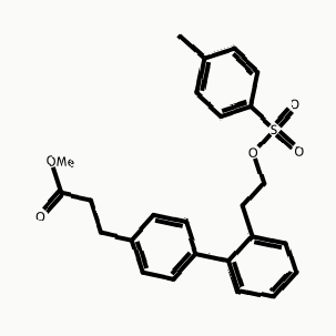 COC(=O)CCc1ccc(-c2ccccc2CCOS(=O)(=O)c2ccc(C)cc2)cc1